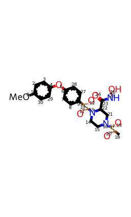 COc1ccc(Oc2ccc(S(=O)(=O)N3CCN(S(C)(=O)=O)CC3C(=O)NO)cc2)cc1